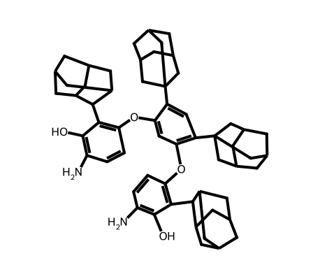 Nc1ccc(Oc2cc(Oc3ccc(N)c(O)c3C3C4CC5CC(C4)CC3C5)c(C34CC5CC(CC(C5)C3)C4)cc2C23CC4CC(CC(C4)C2)C3)c(C2C3CC4CC(C3)CC2C4)c1O